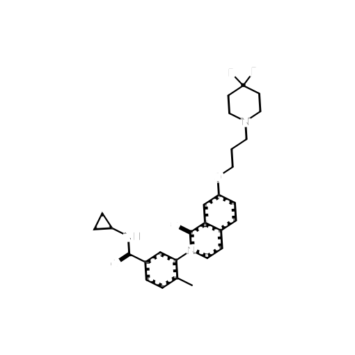 Cc1ccc(C(=O)NC2CC2)cc1-n1ccc2ccc(OCCCN3CCC(F)(F)CC3)cc2c1=O